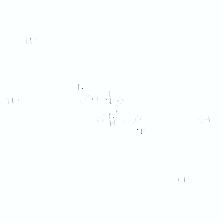 CCCCCCCCCCN(CCCCCCCCCC)CC(=O)OC[C@@H]1NC(=O)[C@H](COC(=O)CN(CCCCCCCCCC)CCCCCCCCCC)NC1=O